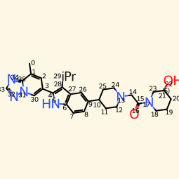 Cc1cc(-c2[nH]c3ccc(C4CCN(CC(=O)N5CCC[C@H](O)C5)CC4)cc3c2C(C)C)cn2ncnc12